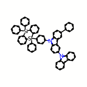 c1ccc(-c2ccc3c(c2)c2cc(-n4c5ccccc5c5ccccc54)ccc2n3-c2ccc([Si]3(c4ccccc4)c4ccccc4[Si](c4ccccc4)(c4ccccc4)c4ccccc43)cc2)cc1